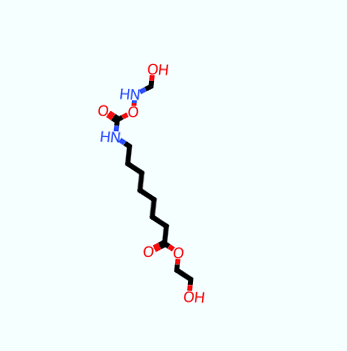 O=C(CCCCCCCNC(=O)ONCO)OCCO